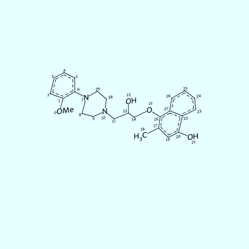 COc1ccccc1N1CCN(CC(O)COc2c(C)cc(O)c3ccccc23)CC1